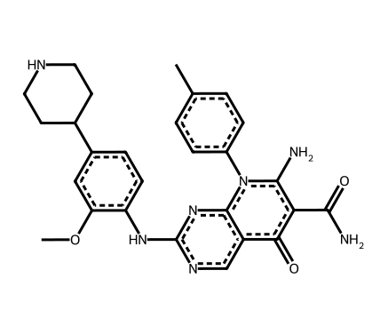 COc1cc(C2CCNCC2)ccc1Nc1ncc2c(=O)c(C(N)=O)c(N)n(-c3ccc(C)cc3)c2n1